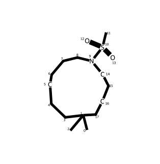 CC1(C)CCCCCCN(S(C)(=O)=O)CCCC1